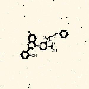 Cc1ccc2c(N3CCN(C(=O)O)C(S(=O)(=O)COCc4ccccc4)C3)nc(-c3ccccc3O)nc2c1